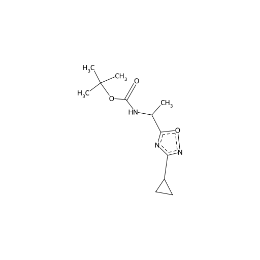 CC(NC(=O)OC(C)(C)C)c1nc(C2CC2)no1